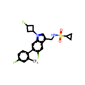 O=S(=O)(NCc1cn(C2CC(F)C2)c2cc(-c3ccc(F)cc3C(F)(F)F)c(F)cc12)C1CC1